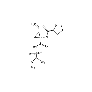 C=CC1C[C@]1(NC(=O)[C@@H]1CCCN1)C(=O)NS(=O)(=O)N(C)OC